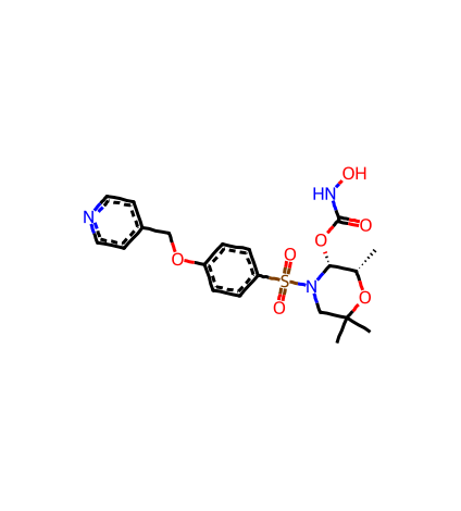 C[C@@H]1OC(C)(C)CN(S(=O)(=O)c2ccc(OCc3ccncc3)cc2)[C@@H]1OC(=O)NO